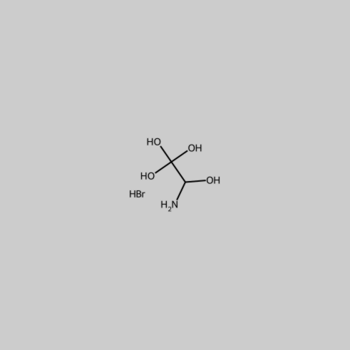 Br.NC(O)C(O)(O)O